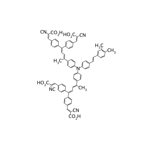 [C-]#[N+]/C(=C\c1ccc(/C(=C\C=C(/C)c2ccc(N(c3ccc(/C=C/c4ccc(C)c(C)c4)cc3)c3ccc(/C(C)=C/C=C(\c4ccc(/C=C(/C#N)C(=O)O)cc4)c4ccc(/C=C(/[N+]#[C-])C(=O)O)cc4)cc3)cc2)c2ccc(/C=C(\C#N)C(=O)O)cc2)cc1)C(=O)O